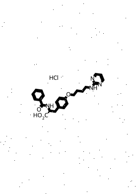 Cl.O=C(N[C@@H](Cc1ccc(OCCCCNc2ncccn2)cc1)C(=O)O)c1ccccc1